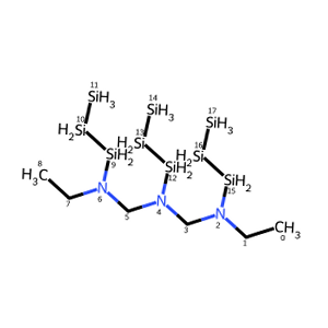 CCN(CN(CN(CC)[SiH2][SiH2][SiH3])[SiH2][SiH2][SiH3])[SiH2][SiH2][SiH3]